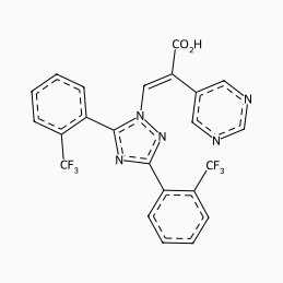 O=C(O)C(=Cn1nc(-c2ccccc2C(F)(F)F)nc1-c1ccccc1C(F)(F)F)c1cncnc1